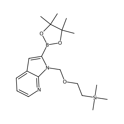 CC1(C)OB(c2cc3cccnc3n2COCC[Si](C)(C)C)OC1(C)C